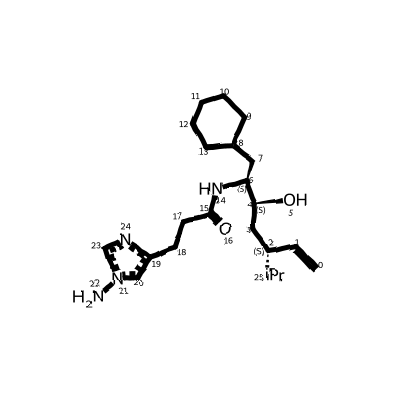 C=C[C@@H](C[C@H](O)[C@H](CC1CCCCC1)NC(=O)CCc1cn(N)cn1)C(C)C